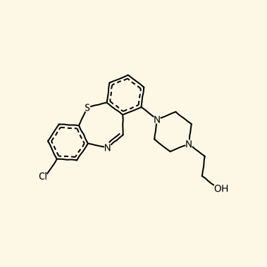 OCCN1CCN(c2cccc3c2C=Nc2cc(Cl)ccc2S3)CC1